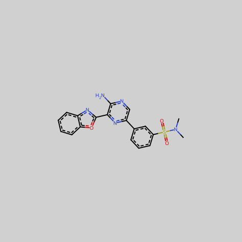 CN(C)S(=O)(=O)c1cccc(-c2cnc(N)c(-c3nc4ccccc4o3)n2)c1